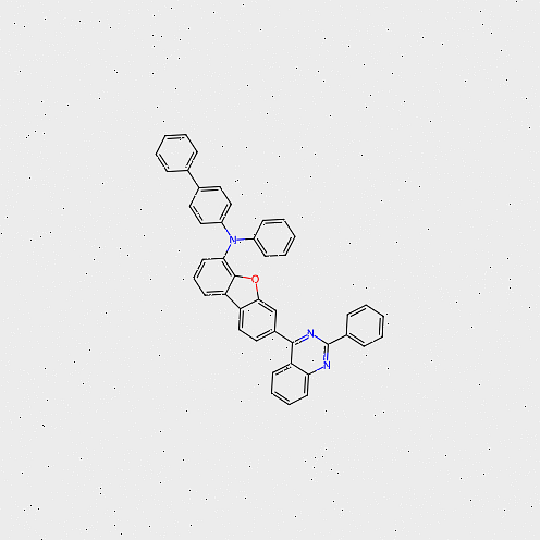 c1ccc(-c2ccc(N(c3ccccc3)c3cccc4c3oc3cc(-c5nc(-c6ccccc6)nc6ccccc56)ccc34)cc2)cc1